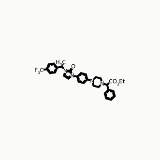 CCOC(=O)C(c1ccccc1)N1CCN(c2ccc(-n3ccn([C@H](C)c4ccc(C(F)(F)F)cc4)c3=O)cc2)CC1